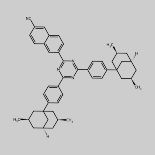 C[C@@H]1C[C@@H]2C[C@H](C)CC(c3ccc(-c4nc(-c5ccc(C67C[C@H](C)C[C@H](C[C@H](C)C6)C7)cc5)nc(-c5ccc6cc(C#N)ccc6c5)n4)cc3)(C1)C2